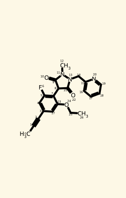 CC#Cc1cc(F)c(C2C(=O)N(C)N(Cc3ccccn3)C2=O)c(OCC)c1